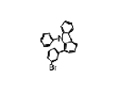 Brc1cccc(-c2cccc3c4ccccc4n(-c4ccccc4)c23)c1